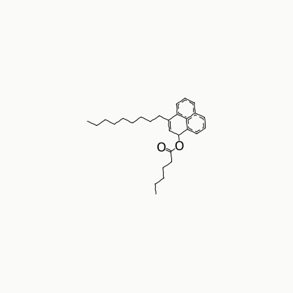 CCCCCCCCCC1=CC(OC(=O)CCCCC)c2cccc3cccc1c23